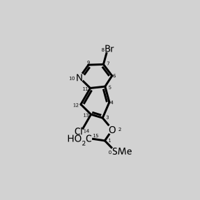 CSC(Oc1cc2cc(Br)cnc2cc1Cl)C(=O)O